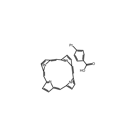 C1=Cc2cc3ccc(cc4nc(cc5ccc(cc1n2)[nH]5)C=C4)[nH]3.O=C(O)c1cc[c]([Pt])cc1